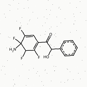 NC1(F)C(F)=CC(C(=O)C(O)c2ccccc2)=C(F)C1F